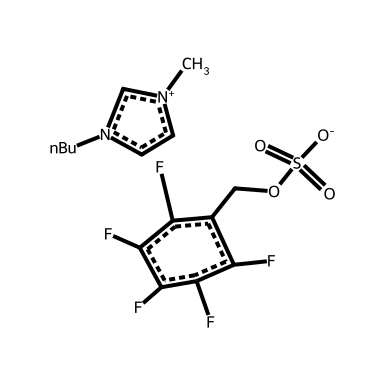 CCCCn1cc[n+](C)c1.O=S(=O)([O-])OCc1c(F)c(F)c(F)c(F)c1F